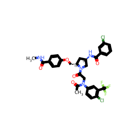 CNC(=O)c1ccc(OC[C@@H]2C[C@@H](NC(=O)c3cccc(Cl)c3)CN2C(=O)CN(C(C)=O)c2ccc(Cl)c(C(F)(F)F)c2)cc1